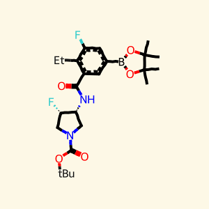 CCc1c(F)cc(B2OC(C)(C)C(C)(C)O2)cc1C(=O)N[C@@H]1CN(C(=O)OC(C)(C)C)C[C@@H]1F